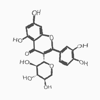 O=c1c([C@@H]2OC[C@@H](O)[C@H](O)[C@H]2O)c(-c2ccc(O)c(O)c2)oc2cc(O)cc(O)c12